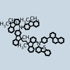 CC1(C)c2ccccc2-c2ccc(N(c3ccc4c(c3)C(C)(CCC3(C)c5ccccc5-c5c(N(c6ccc(-c7cccc8c7ccc7ccccc78)cc6)c6cccc7c6sc6ccccc67)cccc53)c3ccccc3-4)c3cccc4c3-c3ccccc3C4(C)C)cc21